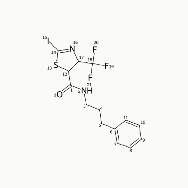 O=C(NCCCc1ccccc1)C1SC(I)=NC1C(F)(F)F